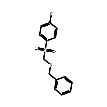 O=S(=O)(CSCc1ccccc1)c1ccc(Cl)cc1